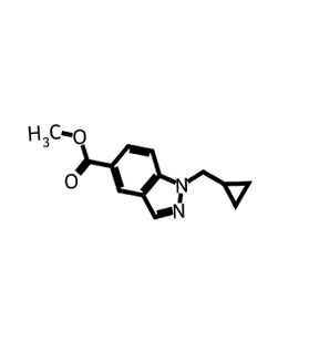 COC(=O)c1ccc2c(cnn2CC2CC2)c1